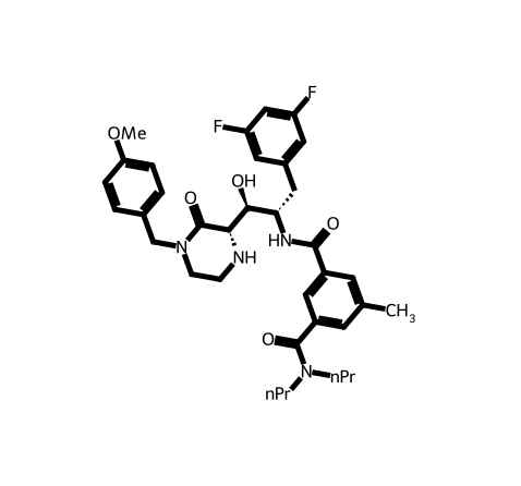 CCCN(CCC)C(=O)c1cc(C)cc(C(=O)N[C@@H](Cc2cc(F)cc(F)c2)[C@H](O)[C@@H]2NCCN(Cc3ccc(OC)cc3)C2=O)c1